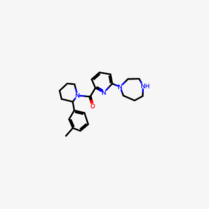 Cc1cccc(C2CCCCN2C(=O)c2cccc(N3CCCNCC3)n2)c1